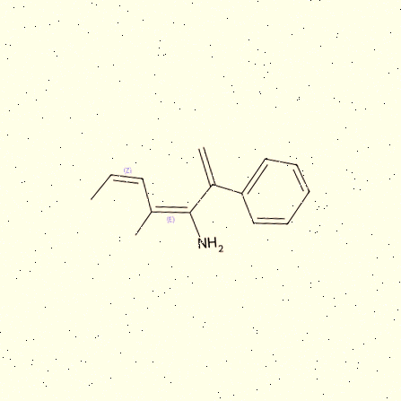 C=C(/C(N)=C(C)\C=C/C)c1ccccc1